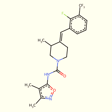 Cc1noc(NC(=O)N2CC/C(=C\c3cccc(C(F)(F)F)c3F)C(C)C2)c1C